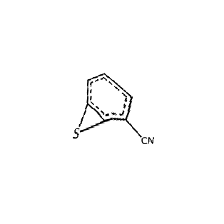 N#Cc1cccc2c1S2